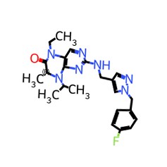 CCN1C(=O)[C@@H](C)N(C(C)C)c2nc(NCc3cnn(Cc4ccc(F)cc4)c3)ncc21